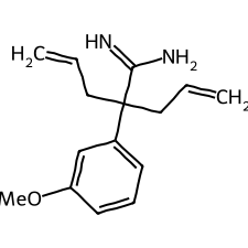 C=CCC(CC=C)(C(=N)N)c1cccc(OC)c1